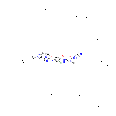 CCCN(CCNC(=O)c1ccc(NC(=O)c2ncc(-c3cn(C4CC4)nc3C(F)(F)F)n2C)cc1Cl)C(=O)NCC1CNC1